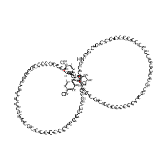 Clc1ccc(C(c2ccc(Cl)cc2)N2CCCNCCCCCCCCCCCCCCCCCCCCCCCCCCCCCCCCCCCCCCCCC3(CCCCCCCCCCCCCCCCCCCCCCCCCCCCCCCCCCCCCCCCCCCCCC34OCCO4)C2)cc1